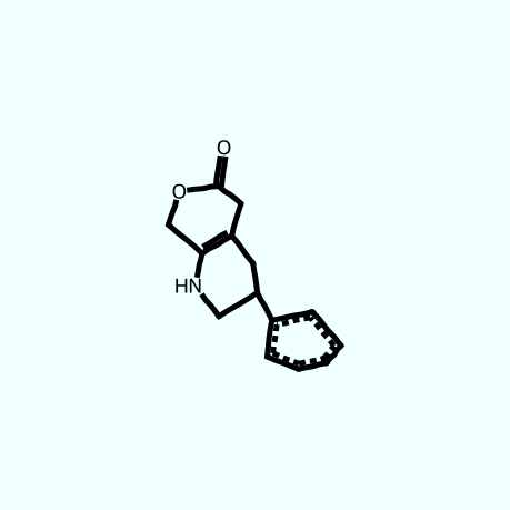 O=C1CC2=C(CO1)NCC(c1ccccc1)C2